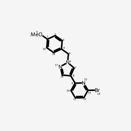 COc1ccc(Cn2cc(-c3cccc(Br)n3)cn2)cc1